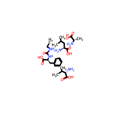 CC(C)C[C@H](N)C(=O)O.CC(C)[C@H](N)C(=O)O.CCNC(=O)N[C@@H](Cc1ccccc1)C(=O)O.C[C@H](N)C(=O)O